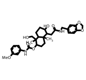 COc1cccc(NC(=O)OC2CCC3(C)C(CC(=O)NCc4ccc5c(c4)OCO5)C(O)CCC3C2(C)CO)c1